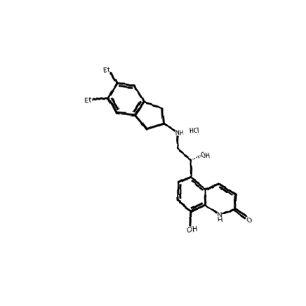 CCc1cc2c(cc1CC)CC(NC[C@H](O)c1ccc(O)c3[nH]c(=O)ccc13)C2.Cl